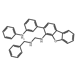 c1ccc(CNCNc2c(-c3cccc([SiH2]c4ccccc4)c3)ccc3c2oc2ccccc23)cc1